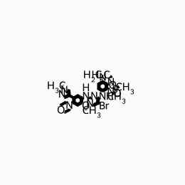 C=Nc1ccc(Nc2nc(Nc3cc(-c4cnn(C)c4)c(N4CCOCC4)cc3OC)ncc2Br)c(N(C)S(C)(=O)=O)c1/N=C\C